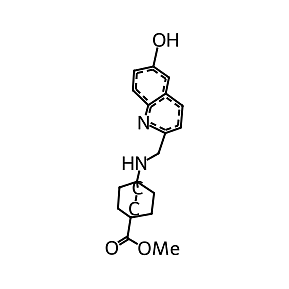 COC(=O)C12CCC(NCc3ccc4cc(O)ccc4n3)(CC1)CC2